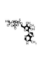 CC1NC=Nc2c1ncn2C1OC(COP(O)(=S)OP(=O)(O)OP(=O)(O)O)C(O)C1(C)O